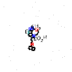 CCc1nn(C)c2c1-c1c(F)ccc3c(CCCOc4cccc5ccccc45)c(C(=O)O)n(c13)CCCCOC2